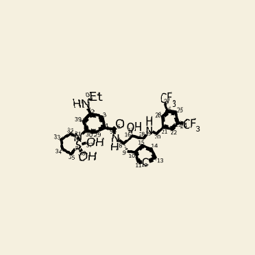 CCNc1cc(C(=O)N[C@@H](Cc2ccccc2)[C@H](O)CNCc2cc(C(F)(F)F)cc(C(F)(F)F)c2)cc(N2CCCCS2(O)O)c1